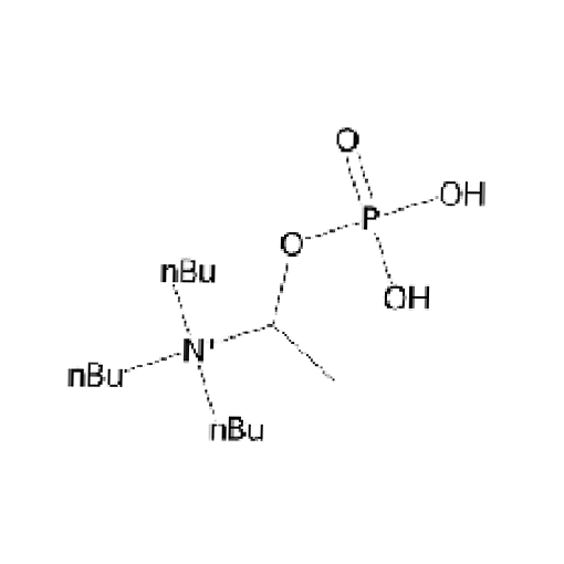 CCCC[N+](CCCC)(CCCC)C(C)OP(=O)(O)O